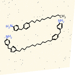 CCCCCCCCCCCCc1ccc(Cc2ccc(N)cc2)cc1.Nc1ccc(Cc2ccc(CCCCCCCCCCCCCc3ccc(Cc4ccc(N)cc4)cc3)cc2)cc1